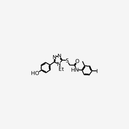 CCn1c(SCC(=O)Nc2ccc(I)cc2C)nnc1-c1ccc(O)cc1